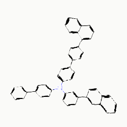 c1ccc(-c2ccc(N(c3ccc(-c4ccc(-c5cccc6ccccc56)cc4)cc3)c3cccc(-c4ccc5ccccc5c4)c3)cc2)cc1